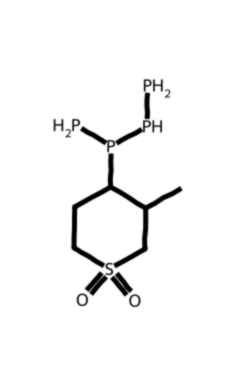 CC1CS(=O)(=O)CCC1P(P)PP